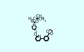 CC(C)(C)OC(=O)N1CC[C@@H](COc2cccc(-c3cccc(C4OCCO4)c3)n2)C1